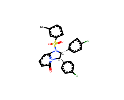 N#Cc1cccc(S(=O)(=O)N2c3cccc(=O)n3[C@@H](c3ccc(Cl)cc3)[C@H]2c2ccc(Cl)cc2)c1